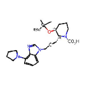 CC(C)(C)[Si](C)(C)O[C@H]1CCCN(C(=O)O)[C@@H]1CCCn1cnc2c(N3CCCC3)cccc21